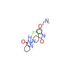 CN(C)CCOc1cc(F)c2c(c1)N(C)C(=O)C21CCN(c2nc3c(c(=O)[nH]2)CCCC3)CC1